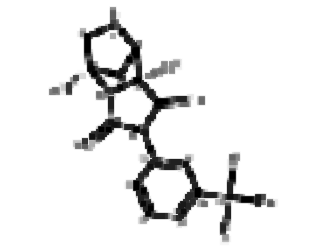 O=C1[C@@H]2C3C[C@H](CN3)N2C(=O)N1c1cccc(C(F)(F)F)c1